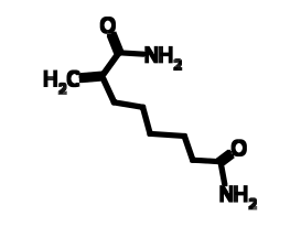 C=C(CCCCCC(N)=O)C(N)=O